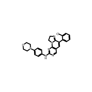 Clc1ccccc1C1=Cc2cnc(Nc3ccc(N4CCOCC4)cc3)nc2N2CCN=C12